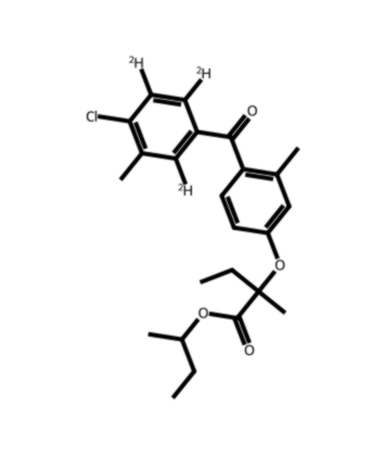 [2H]c1c([2H])c(C(=O)c2ccc(OC(C)(CC)C(=O)OC(C)CC)cc2C)c([2H])c(C)c1Cl